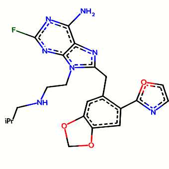 CC(C)CNCCn1c(Cc2cc3c(cc2-c2ncco2)OCO3)nc2c(N)nc(F)nc21